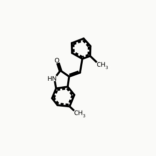 Cc1ccc2c(c1)/C(=C/c1ccccc1C)C(=O)N2